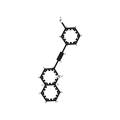 Fc1cccc(C#Cc2ccc3ccccc3n2)c1